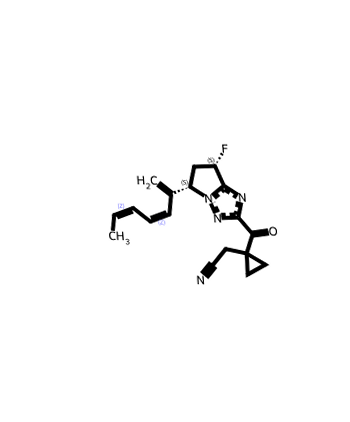 C=C(/C=C\C=C/C)[C@@H]1C[C@H](F)c2nc(C(=O)C3(CC#N)CC3)nn21